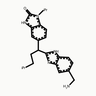 CC(C)CCC(c1ccc2c(c1)[nH]c(=O)n2C(C)C)c1nc2cc(CN)ccc2[nH]1